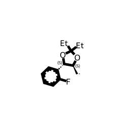 [CH2][C@@H]1OC(CC)(CC)O[C@H]1c1ccccc1F